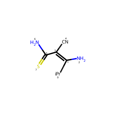 CC(C)/C(N)=C(/C#N)C(N)=S